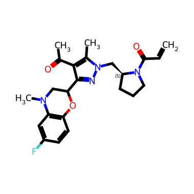 C=CC(=O)N1CCC[C@H]1Cn1nc(C2CN(C)c3cc(F)ccc3O2)c(C(C)=O)c1C